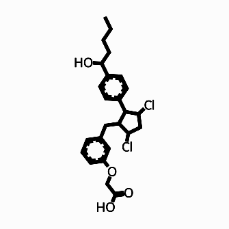 CCCCC(O)c1ccc(C2C(Cl)CC(Cl)C2Cc2cccc(OCC(=O)O)c2)cc1